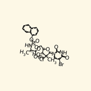 CC(C)OC(=O)[C@@H](C)N[P@](=O)(OC[C@H]1O[C@@H](n2cc(Br)c(=O)[nH]c2=O)[C@](C)(Cl)[C@@H]1O)Oc1cccc2ccccc12